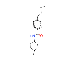 CCCCc1ccc(C(=O)NC2CCC(C)CC2)cc1